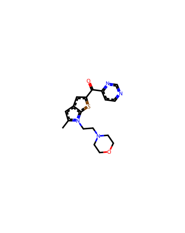 Cc1cc2cc(C(=O)c3ccncn3)sc2n1CCN1CCOCC1